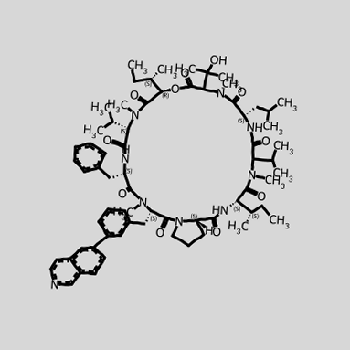 CC[C@H](C)[C@@H]1NC(=O)[C@@H]2CCCN2C(=O)[C@H](Cc2cccc(-c3ccc4cnccc4c3)c2)N(C)C(=O)[C@H](Cc2ccccc2)NC(=O)[C@H](C(C)C)N(C)C(=O)[C@@H]([C@@H](C)CC)OC(=O)C(C(C)(C)O)N(C)C(=O)[C@H](CC(C)C)NC(=O)C(C(C)C)N(C)C1=O